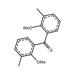 COc1c(C)cccc1C(=O)c1cccc(C)c1OC